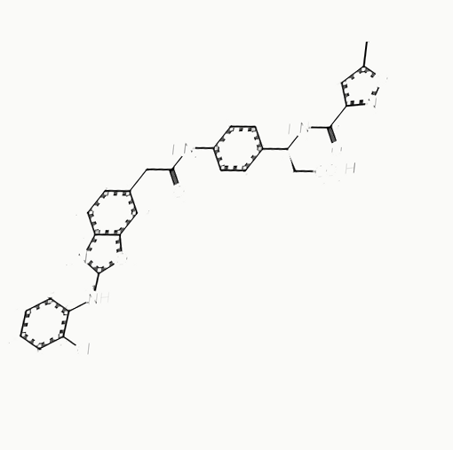 Cc1cc(C(=O)N[C@@H](CC(=O)O)c2ccc(NC(=O)Cc3ccc4nc(Nc5ccccc5Cl)oc4c3)cc2)no1